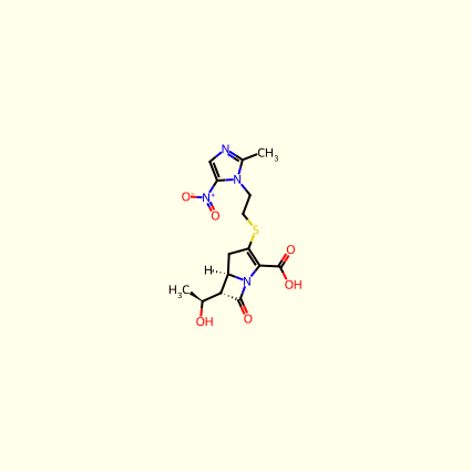 Cc1ncc([N+](=O)[O-])n1CCSC1=C(C(=O)O)N2C(=O)[C@H]([C@H](C)O)[C@H]2C1